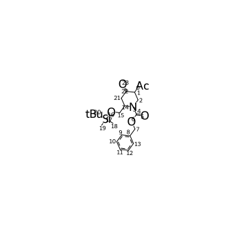 CC(=O)C1CN(C(=O)OCc2ccccc2)C(CO[Si](C)(C)C(C)(C)C)CC1=O